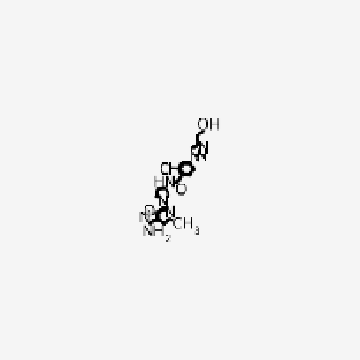 Cc1cc2c(N)noc2c(N2CCC(NC(=O)c3ccc(-n4cc(CCO)nn4)cc3Cl)C2)n1